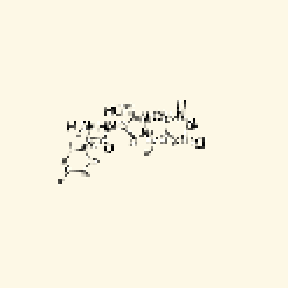 CC1CCC([C@H](N)C(=O)Nc2cnn(C(C)c3cc(Cl)n[nH]c3=O)c2)CC1.Cl